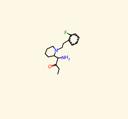 CCC(=O)[C](N)C1CCCCN1CCc1ccccc1F